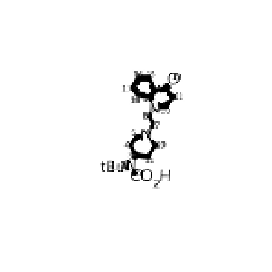 CC(C)(C)N(C(=O)O)C1CCN(CCn2ccc(=O)c3ccccc32)CC1